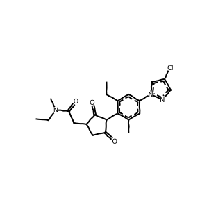 CCc1cc(-n2cc(Cl)cn2)cc(C)c1C1C(=O)CC(CC(=O)N(C)CC)C1=O